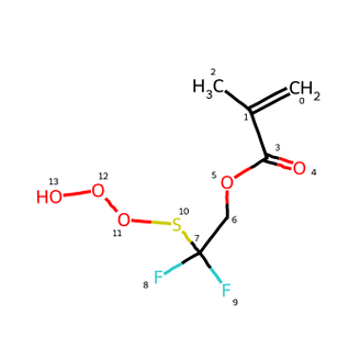 C=C(C)C(=O)OCC(F)(F)SOOO